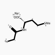 [2H]CC(=O)N[C@@H](CCSC)C(=O)[O-].[Na+]